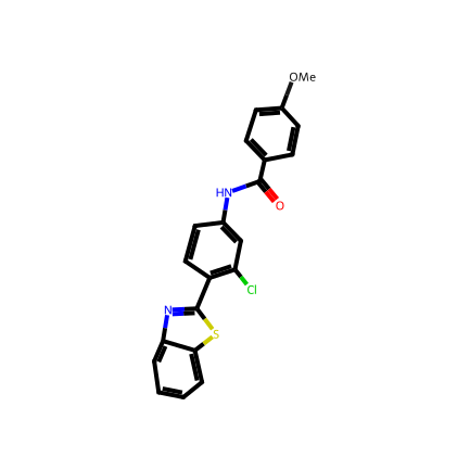 COc1ccc(C(=O)Nc2ccc(-c3nc4ccccc4s3)c(Cl)c2)cc1